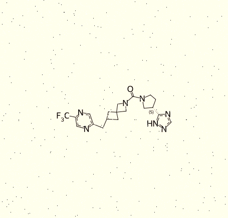 O=C(N1CC[C@H](c2ncn[nH]2)C1)N1CC2(CC(Cc3cnc(C(F)(F)F)cn3)C2)C1